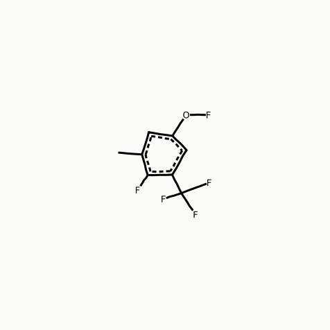 Cc1cc(OF)cc(C(F)(F)F)c1F